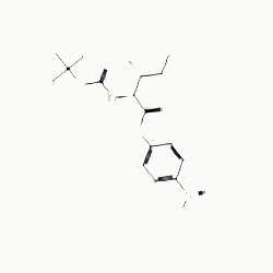 CC[C@H](C)[C@H](NC(=O)OC(C)(C)C)C(=O)Oc1ccc([N+](=O)[O-])cc1